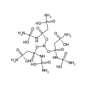 NP(=O)(O)CP(=O)(NP(N)(=O)O)ON(OP(=O)(CP(N)(=O)O)NP(N)(=O)O)OP(=O)(CP(N)(=O)O)NP(N)(=O)O